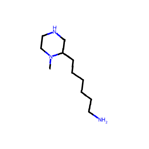 CN1CCNCC1CCCCCCN